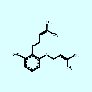 CC(C)=CCSc1cccc(C=O)c1SCC=C(C)C